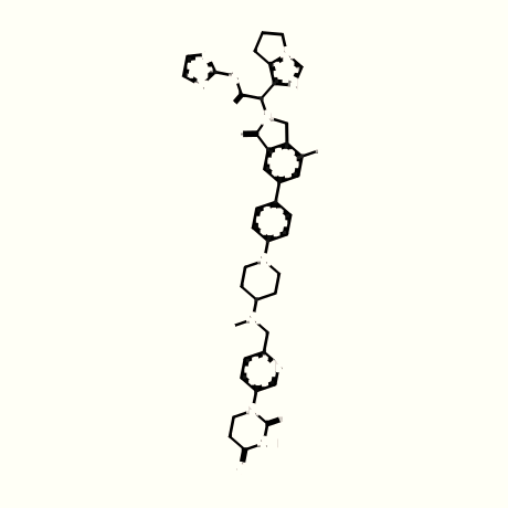 CN(Cc1ccc(N2CCC(=O)NC2=O)cn1)C1CCN(c2ccc(-c3cc(F)c4c(c3)C(=O)N(C(C(=O)Nc3nccs3)c3ncn5c3CCC5)C4)cc2)CC1